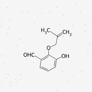 C=C(C)COc1c(O)cccc1C=O